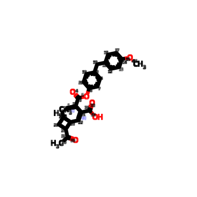 C/C=C(C(=O)Oc1ccc(Cc2ccc(OC)cc2)cc1)\C(=C/C1C(C)CC1C(C)=O)C(=O)O